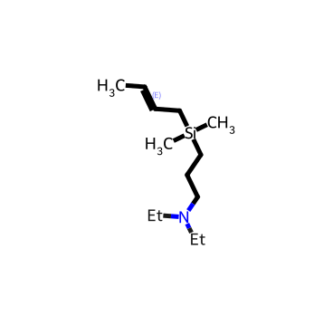 C/C=C/C[Si](C)(C)CCCN(CC)CC